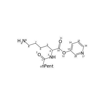 CCCCCC(=O)NC(CCCCN)C(=O)Oc1cccnc1